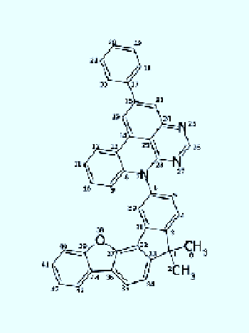 CC1(C)c2ccc(N3c4ccccc4-c4cc(-c5ccccc5)cc5ncnc3c45)cc2-c2c1ccc1c2oc2ccccc21